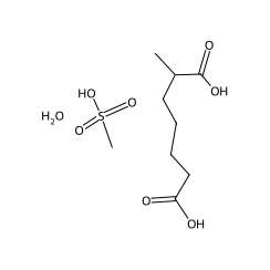 CC(CCCCC(=O)O)C(=O)O.CS(=O)(=O)O.O